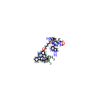 C[C@@H]1COCCN1c1cc(C2(S(=N)(=O)CCCCCCOc3cc(F)c([C@@H]4C5Nc6ccccc6C5C[C@@H](C)N4CC(C)(C)F)c(F)c3)CC2)nc(-c2ccnc3[nH]ccc23)n1